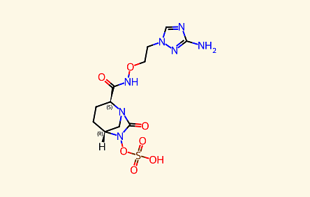 Nc1ncn(CCONC(=O)[C@@H]2CC[C@@H]3CN2C(=O)N3OS(=O)(=O)O)n1